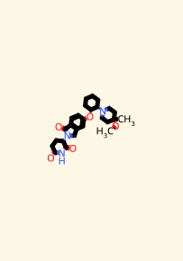 COC1(C)CCN([C@@H]2CCCC[C@@H]2Oc2ccc3c(c2)CN(C2CCC(=O)NC2=O)C3=O)CC1